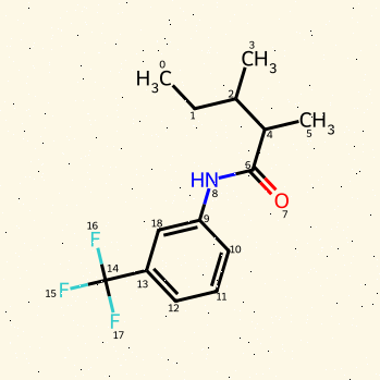 CCC(C)C(C)C(=O)Nc1cccc(C(F)(F)F)c1